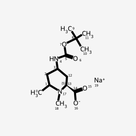 CC1CC(NC(=O)OC(C)(C)C)C[C@@H](C(=O)[O-])N1C.[Na+]